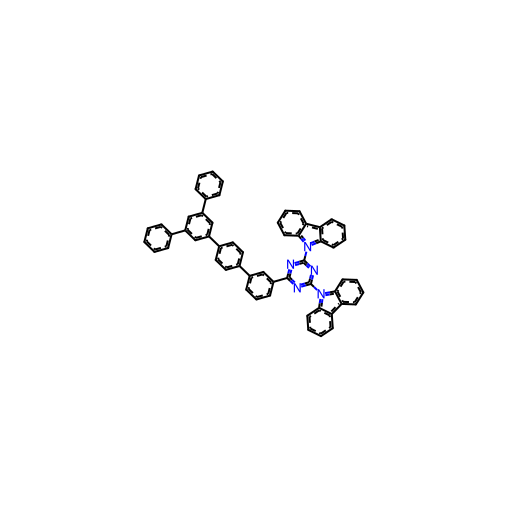 c1ccc(-c2cc(-c3ccccc3)cc(-c3ccc(-c4cccc(-c5nc(-n6c7ccccc7c7ccccc76)nc(-n6c7ccccc7c7ccccc76)n5)c4)cc3)c2)cc1